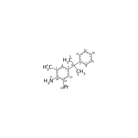 Cc1cc(C(C)(C)c2ccccc2)cc(C(C)C)c1N